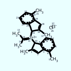 CC1=Cc2c(C)cccc2[CH]1[Zr+2](=[C](C)C)[CH]1C(C)=Cc2c(C)cccc21.[Cl-].[Cl-]